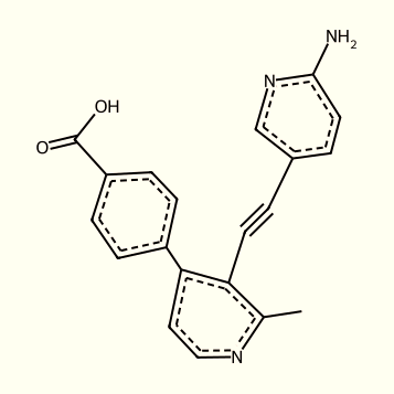 Cc1nccc(-c2ccc(C(=O)O)cc2)c1C#Cc1ccc(N)nc1